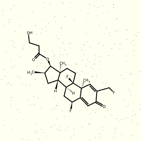 C[C@@H]1C[C@H]2[C@@H]3C[C@H](F)C4=CC(=O)C(CF)=C[C@]4(C)[C@@]3(F)CC[C@]2(C)[C@@H]1OC(=O)CCO